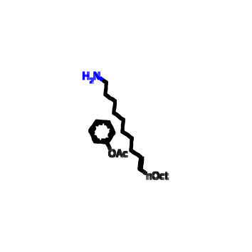 CC(=O)Oc1ccccc1.CCCCCCCCC=CCCCCCCCCN